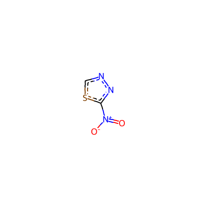 O=[N+]([O-])c1nncs1